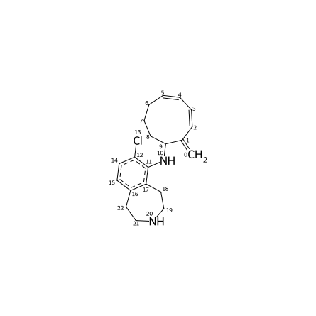 C=C1/C=C\C=C/CCCC1Nc1c(Cl)ccc2c1CCNCC2